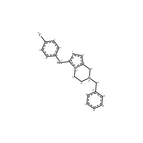 Fc1ccc(Nc2ncc3n2CCN(Cc2ccccc2)C3)cc1